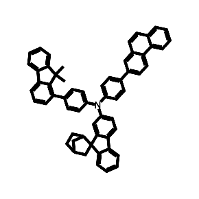 CC1(C)c2ccccc2-c2cccc(-c3ccc(N(c4ccc(-c5ccc6c(ccc7ccccc76)c5)cc4)c4ccc5c(c4)C4(CC6CCC4C6)c4ccccc4-5)cc3)c21